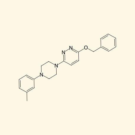 Cc1cccc(N2CCN(c3ccc(OCc4ccccc4)nn3)CC2)c1